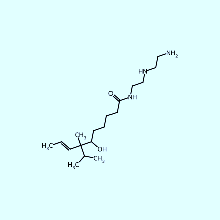 CC=CC(C)(C(C)C)C(O)CCCCC(=O)NCCNCCN